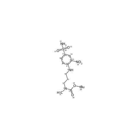 CN(CCCNc1ccc(S(N)(=O)=O)cc1[N+](=O)[O-])C(=O)OC(C)(C)C